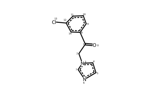 O=C(Cn1ccnc1)c1cccc(Cl)c1